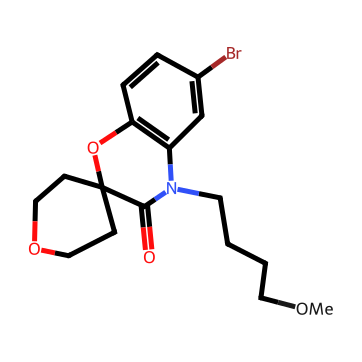 COCCCCN1C(=O)C2(CCOCC2)Oc2ccc(Br)cc21